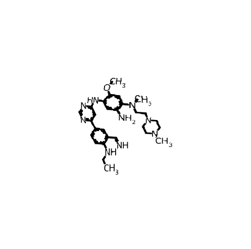 CCNc1ccc(-c2cc(Nc3cc(N)c(N(C)CCN4CCN(C)CC4)cc3OC)ncn2)cc1C=N